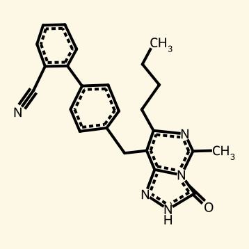 CCCCc1nc(C)n2c(=O)[nH]nc2c1Cc1ccc(-c2ccccc2C#N)cc1